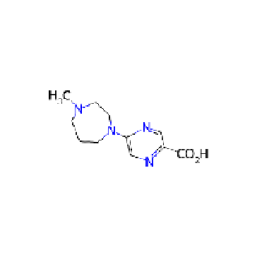 CN1CCCN(c2cnc(C(=O)O)cn2)CC1